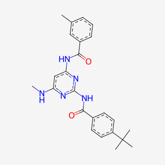 CNc1cc(NC(=O)c2cccc(C)c2)nc(NC(=O)c2ccc(C(C)(C)C)cc2)n1